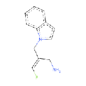 NC/C(=C\F)Cn1ccc2ccccc21